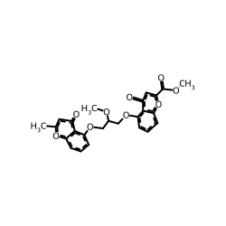 COC(=O)c1cc(=O)c2c(OCC(COc3cccc4oc(C)cc(=O)c34)OC)cccc2o1